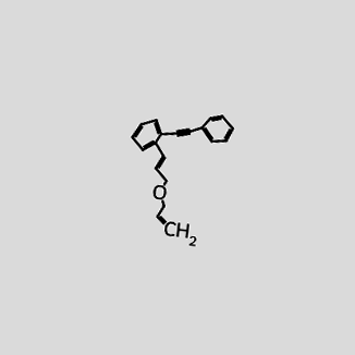 C=CCOCC=Cc1ccccc1C#Cc1ccccc1